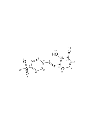 CS(=O)(=O)c1ccc(/C=C/c2occc(=O)c2O)cc1